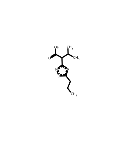 CCCc1nc(C(C(=O)O)C(C)C)no1